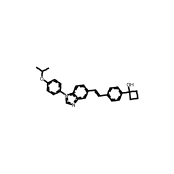 CC(C)Oc1ccc(-n2cnc3cc(C=Cc4ccc(C5(O)CCC5)cc4)ccc32)cc1